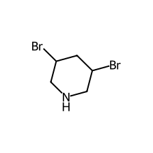 BrC1CNCC(Br)C1